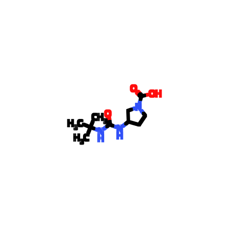 CC(C)(C)NC(=O)NC1CCN(C(=O)O)C1